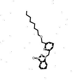 CCCCCCCCOCc1cccc(Cn2n[n+]([O-])c3ccccc32)n1